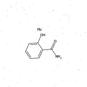 NC(=O)c1ccccc1O.[Pb]